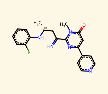 C[C@H](CC(=N)c1nc(-c2ccncc2)cc(=O)n1C)Nc1ccccc1F